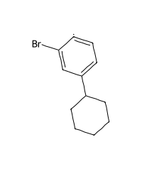 Brc1[c]ccc(C2CCCCC2)c1